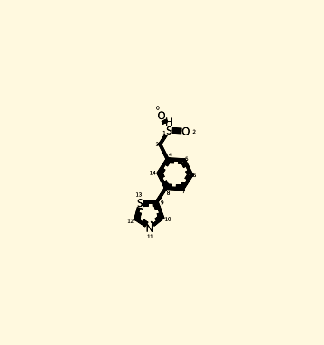 O=[SH](=O)Cc1cccc(-c2cncs2)c1